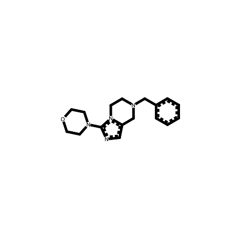 c1ccc(CN2CCn3c(cnc3N3CCOCC3)C2)cc1